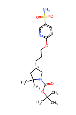 CC(C)(C)OC(=O)N1C[C@@H](CCCOc2ccc(S(N)(=O)=O)cn2)CC1(C)C